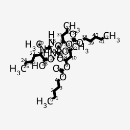 CCCCCOC(=O)OC(CCC)OP(=O)(NC(=N)N(C)C(CCCC)C(=O)O)OC(CCC)OC(=O)OCCCCC